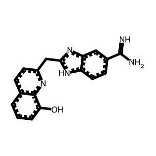 N=C(N)c1ccc2[nH]c(Cc3ccc4cccc(O)c4n3)nc2c1